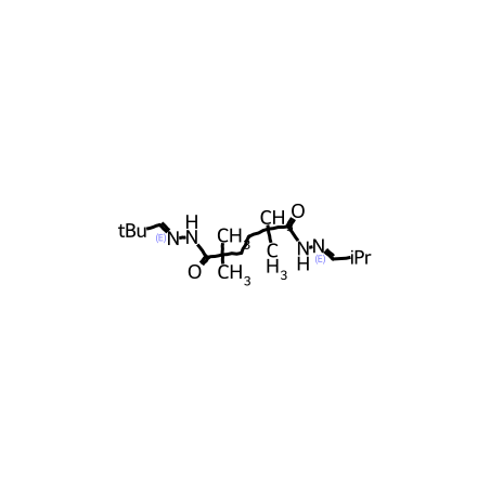 CC(C)/C=N/NC(=O)C(C)(C)CCC(C)(C)C(=O)N/N=C/C(C)(C)C